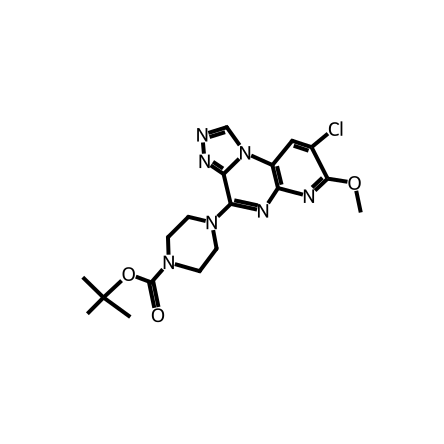 COc1nc2nc(N3CCN(C(=O)OC(C)(C)C)CC3)c3nncn3c2cc1Cl